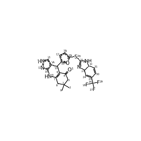 CC1(C)CC(=O)C2=C(C1)Nc1n[nH]cc1C2c1ccc(SC2=NC3C=C(C(F)(F)F)C=CC3N2)o1